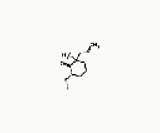 C=CCC1(C)CCCN(SI)C1=O